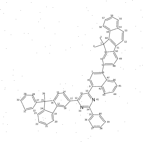 CC1(C)c2cc(-c3ccc(-c4cc(-c5ccc6c(c5)-c5ccccc5C6(C)c5ccccc5)nc(-c5ccccc5)n4)c4ccccc34)ccc2-c2ccc3ccccc3c21